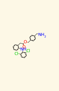 NCc1ccc(COC(=O)Cc2ccccc2Nc2c(Cl)cccc2Cl)cc1